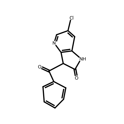 O=C1Nc2cc(Cl)cnc2C1C(=O)c1ccccc1